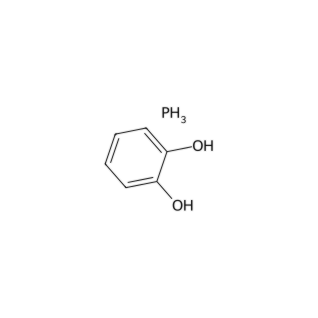 Oc1ccccc1O.P